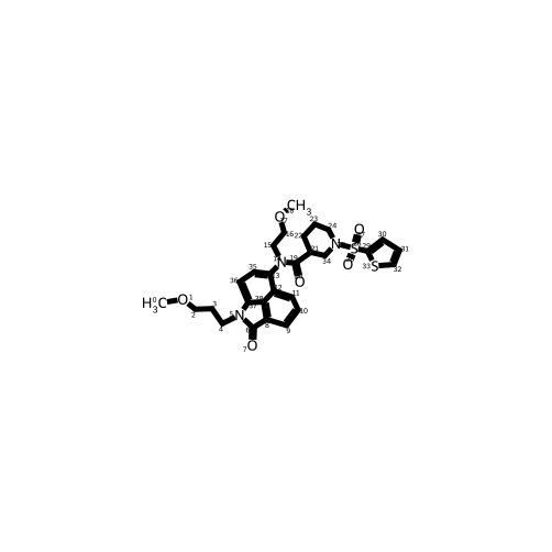 COCCCN1C(=O)c2cccc3c(N(CCOC)C(=O)C4CCCN(S(=O)(=O)c5cccs5)C4)ccc1c23